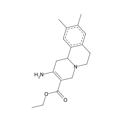 CCOC(=O)C1=C(N)CC2c3cc(C)c(C)cc3CCN2C1